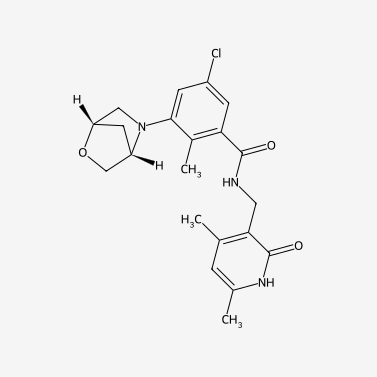 Cc1cc(C)c(CNC(=O)c2cc(Cl)cc(N3C[C@@H]4C[C@H]3CO4)c2C)c(=O)[nH]1